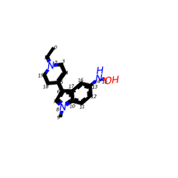 CCN1CC=C(c2cn(C)c3ccc(NO)cc23)CC1